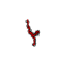 C=CC(=O)OCCCCOc1ccc(CCC(=O)Oc2ccc3cc(-c4ccc(-c5ccc(CCOCCCOC6OC6(C)C)cc5)c(/C=N/Nc5nc6c(ccc7nsnc76)s5)c4F)ccc3c2)cc1